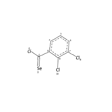 ClC(=[Se])c1cccc(Cl)c1Cl